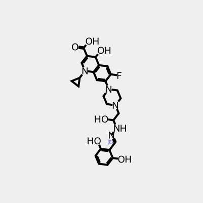 O=C(O)C1=CN(C2CC2)c2cc(N3CCN(CC(O)N/N=C/c4c(O)cccc4O)CC3)c(F)cc2C1O